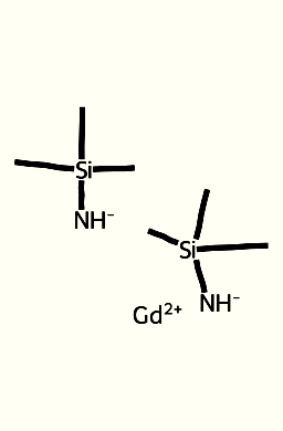 C[Si](C)(C)[NH-].C[Si](C)(C)[NH-].[Gd+2]